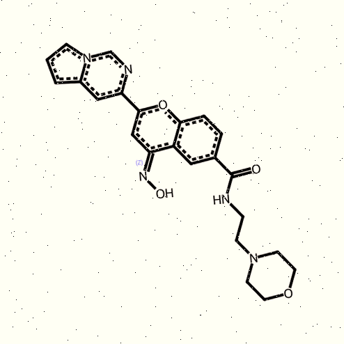 O=C(NCCN1CCOCC1)c1ccc2oc(-c3cc4cccn4cn3)c/c(=N/O)c2c1